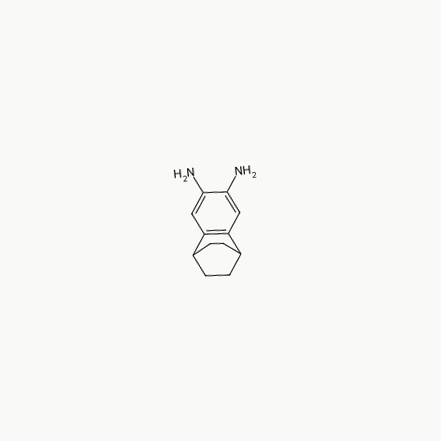 Nc1cc2c(cc1N)C1CCC2CC1